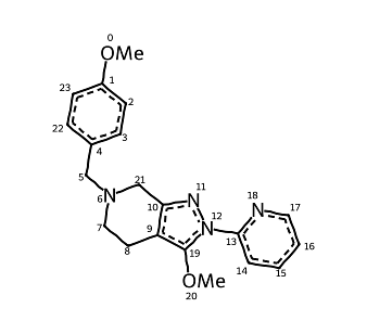 COc1ccc(CN2CCc3c(nn(-c4ccccn4)c3OC)C2)cc1